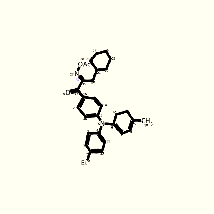 CCc1ccc(N(C2=CC=C(C)CC2)c2ccc(C(=O)/C(CC3CCCCC3)=N/OC(C)=O)cc2)cc1